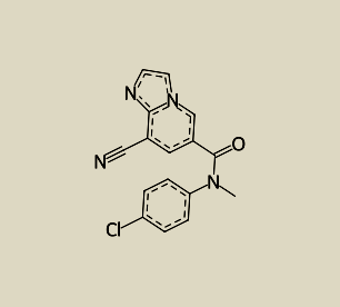 CN(C(=O)c1cc(C#N)c2nccn2c1)c1ccc(Cl)cc1